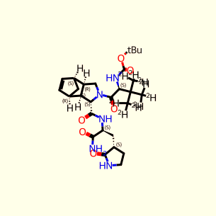 [2H]C([2H])([2H])C([C@H](NC(=O)OC(C)(C)C)C(=O)N1C[C@H]2[C@@H]([C@H]1C(=O)N[C@@H](C[C@@H]1CCNC1=O)C(N)=O)[C@H]1C=C[C@@H]2C1)(C([2H])([2H])[2H])C([2H])([2H])[2H]